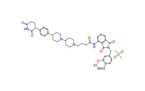 CCOc1cc([C@@H](CS(C)(=O)=O)N2C(=O)c3cccc(NC(=O)CCCN4CCC(N5CCC(c6ccc(C7CCC(=O)NC7=O)cc6)CC5)CC4)c3C2=O)ccc1OC